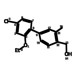 CCOc1cc(Cl)ccc1-c1ccc(CO)c(C)c1